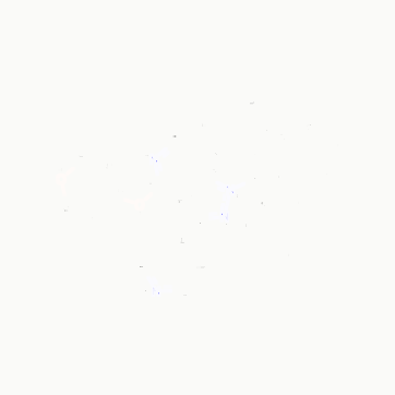 O=C(O)c1cc(-c2nn(C(c3ccccc3)(c3ccccc3)c3ccccc3)c3ccnc(OC4CCOCC4)c23)ccn1